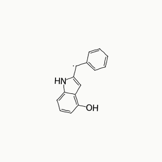 Oc1cccc2[nH]c([CH]c3ccccc3)cc12